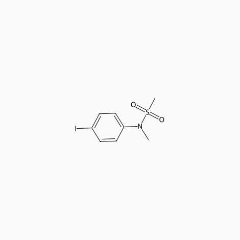 CN(c1ccc(I)cc1)S(C)(=O)=O